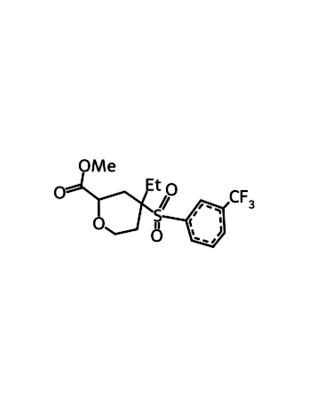 CCC1(S(=O)(=O)c2cccc(C(F)(F)F)c2)CCOC(C(=O)OC)C1